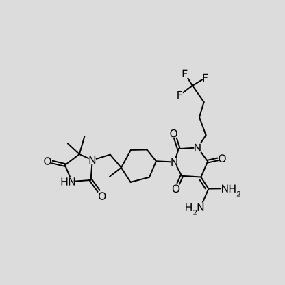 CC1(CN2C(=O)NC(=O)C2(C)C)CCC(N2C(=O)C(=C(N)N)C(=O)N(CCCC(F)(F)F)C2=O)CC1